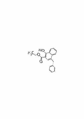 CCOC(=O)c1cc(Cc2ccccc2)c2ccccc2c1O